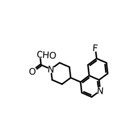 O=CC(=O)N1CCC(c2ccnc3ccc(F)cc23)CC1